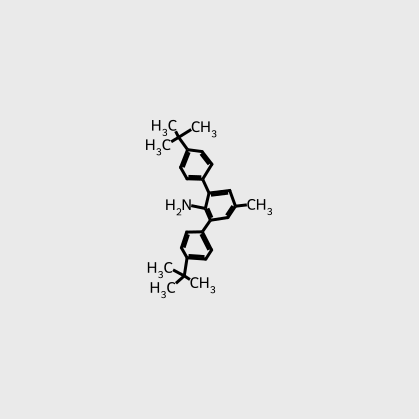 Cc1cc(-c2ccc(C(C)(C)C)cc2)c(N)c(-c2ccc(C(C)(C)C)cc2)c1